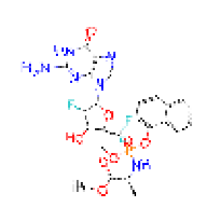 CC(C)OC(=O)[C@H](C)NP(=O)(OC[C@@]1(C(F)F)O[C@@H](n2cnc3c(=O)[nH]c(N)nc32)[C@H](F)[C@@H]1O)Oc1cccc2ccccc12